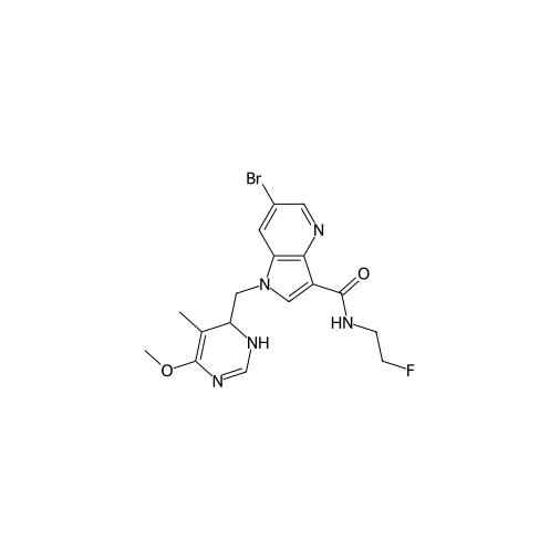 COC1=C(C)C(Cn2cc(C(=O)NCCF)c3ncc(Br)cc32)NC=N1